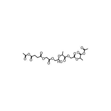 CC(=O)OC(=O)CCC(=O)OCC(=O)OCC(O)OC(C)C(=O)OCC(=O)OC(C)C(=O)OC(C)=O